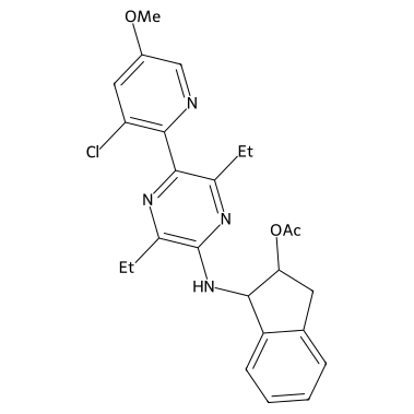 CCc1nc(-c2ncc(OC)cc2Cl)c(CC)nc1NC1c2ccccc2CC1OC(C)=O